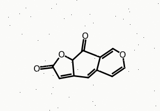 O=C1C=C2C=C3C=COC=C3C(=O)C2O1